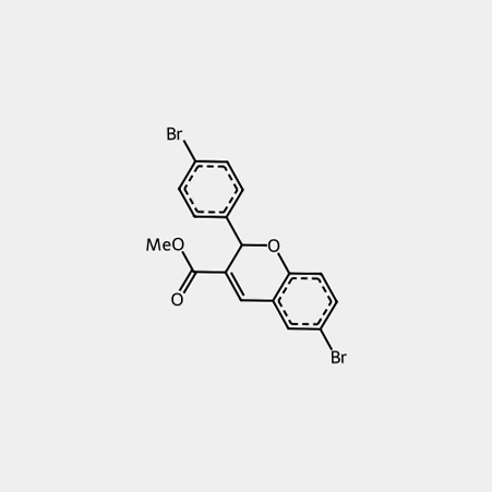 COC(=O)C1=Cc2cc(Br)ccc2OC1c1ccc(Br)cc1